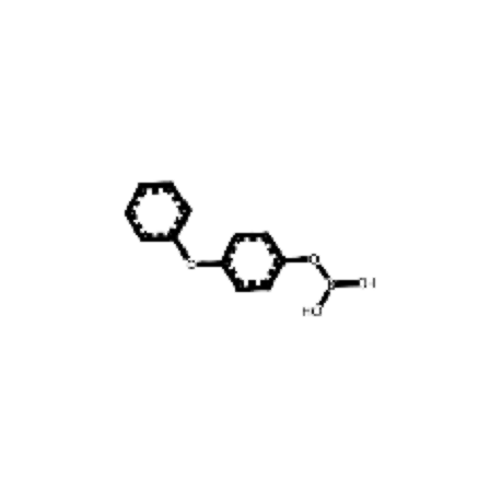 OB(O)Oc1ccc(Oc2ccccc2)cc1